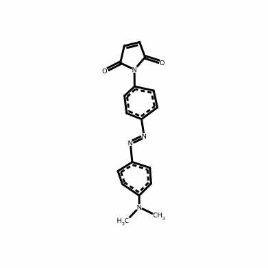 CN(C)c1ccc(N=Nc2ccc(N3C(=O)C=CC3=O)cc2)cc1